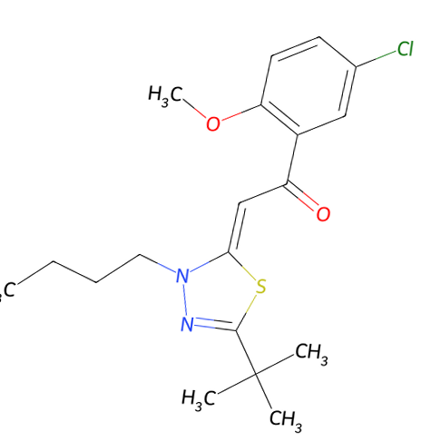 CCCCN1N=C(C(C)(C)C)SC1=CC(=O)c1cc(Cl)ccc1OC